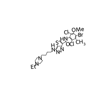 CCN1CCN(CCCCNc2ncnc3c(C(=O)Nc4c(Cl)c(C)c(Br)c(OC)c4Cl)csc23)CC1